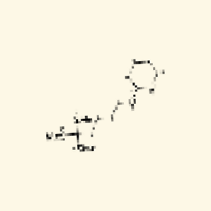 CSC(CCCCOC1CCCCO1)(SC)SC